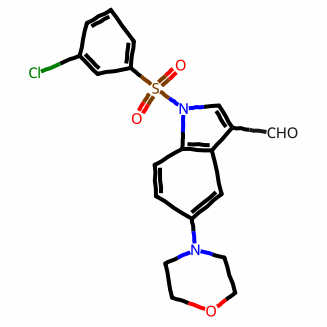 O=Cc1cn(S(=O)(=O)c2cccc(Cl)c2)c2ccc(N3CCOCC3)cc12